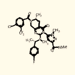 CNC(=O)c1cc(-n2c(N(C)[C@@H](C)c3ccc(F)cc3)nc3c(c2=O)C[C@@H](C)N(C(=O)c2ccc(Cl)c(C(F)(F)F)c2)C3)n(C)n1